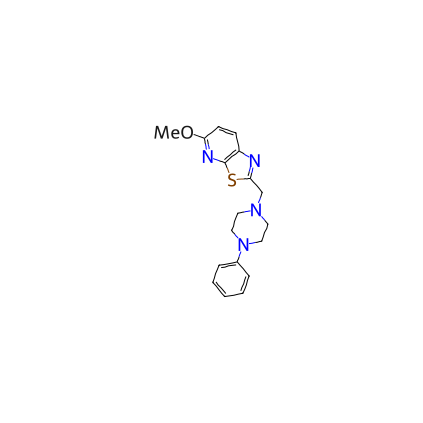 COc1ccc2nc(CN3CCN(c4ccccc4)CC3)sc2n1